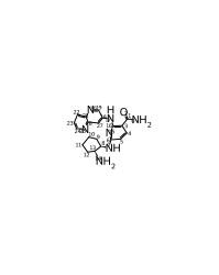 NC(=O)c1ccc(N[C@@H]2CCCC[C@@H]2N)nc1Nc1cnc2cccnc2c1